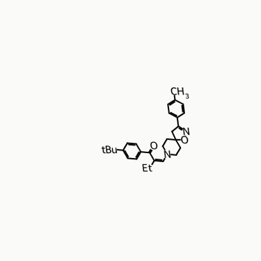 CCC(=CN1CCC2(CC1)CC(c1ccc(C)cc1)=NO2)C(=O)c1ccc(C(C)(C)C)cc1